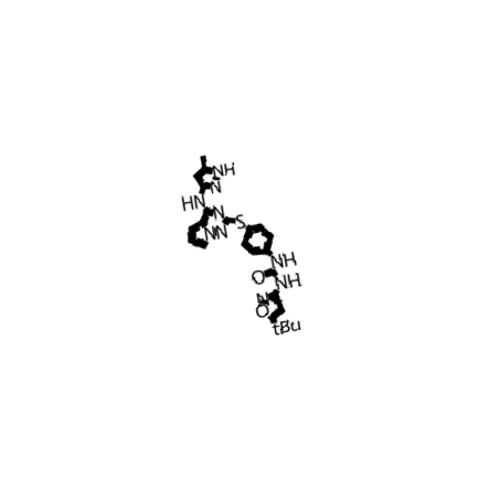 Cc1cc(Nc2nc(Sc3ccc(NC(=O)Nc4cc(C(C)(C)C)on4)cc3)nn3cccc23)n[nH]1